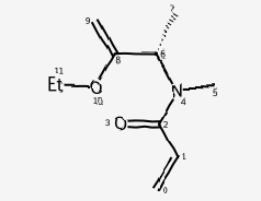 C=CC(=O)N(C)[C@@H](C)C(=C)OCC